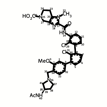 COc1cc(-c2cccc(-c3cccc(NC(=O)c4nc5c(n4C)CCN(C(=O)O)C5)c3Cl)c2Cl)ccc1CN1CC[C@@H](NC(C)=O)C1